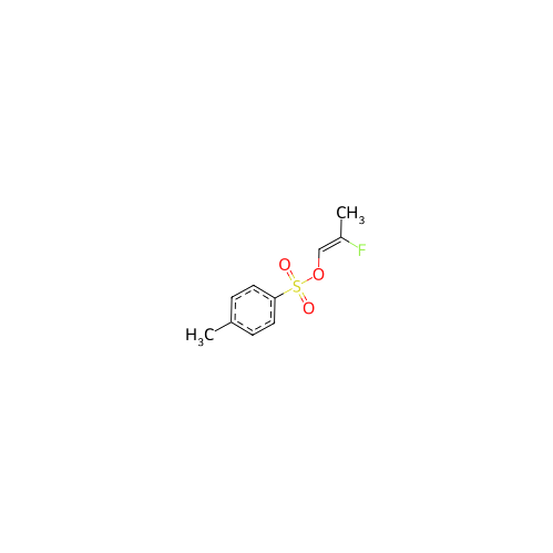 C/C(F)=C/OS(=O)(=O)c1ccc(C)cc1